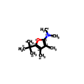 Cc1c(N(C)C)oc(C(C)(C)C)c1C